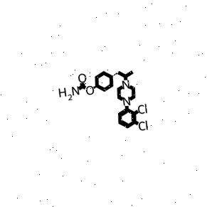 CC(C[C@H]1CC[C@H](OC(N)=O)CC1)N1CCN(c2cccc(Cl)c2Cl)CC1